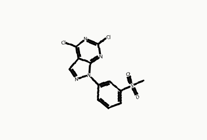 CS(=O)(=O)c1cccc(-n2ncc3c(Cl)nc(Cl)nc32)c1